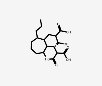 CCCC1CCCC(C)C(CC(C(=O)O)C(=O)O)C1CC(C(=O)O)C(=O)O